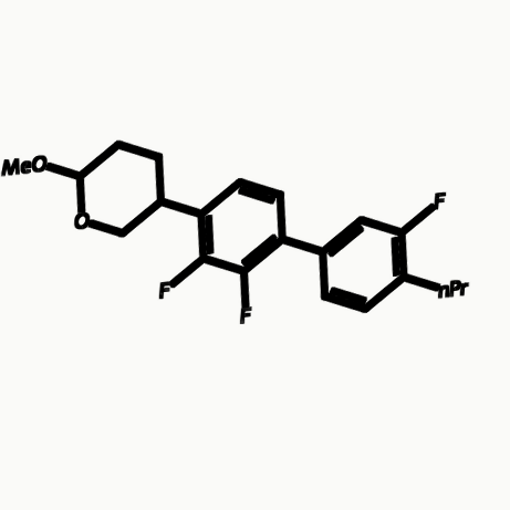 CCCc1ccc(-c2ccc(C3CCC(OC)OC3)c(F)c2F)cc1F